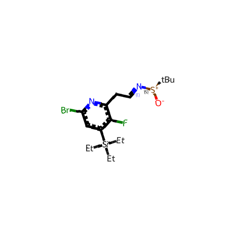 CC[Si](CC)(CC)c1cc(Br)nc(C/C=N/[S@+]([O-])C(C)(C)C)c1F